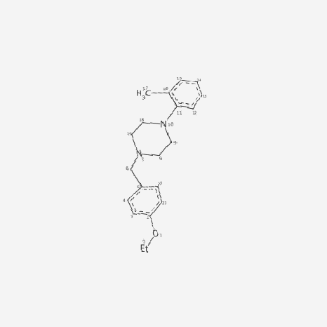 CCOc1ccc(CN2CCN(c3ccccc3C)CC2)cc1